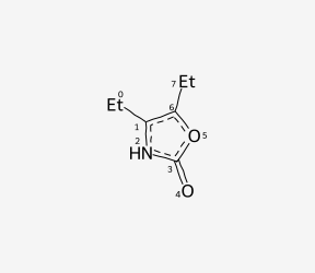 CCc1[nH]c(=O)oc1CC